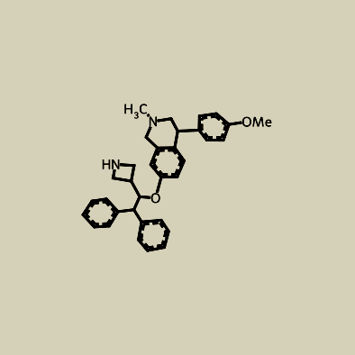 COc1ccc(C2CN(C)Cc3cc(OC(C4CNC4)C(c4ccccc4)c4ccccc4)ccc32)cc1